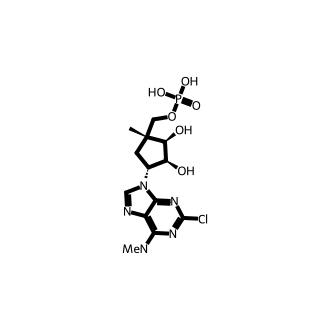 CNc1nc(Cl)nc2c1ncn2[C@@H]1C[C@](C)(COP(=O)(O)O)[C@@H](O)[C@H]1O